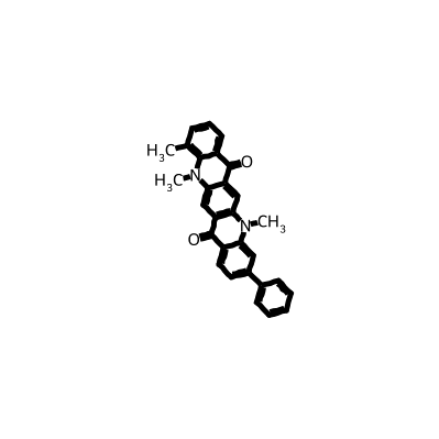 Cc1cccc2c(=O)c3cc4c(cc3n(C)c12)c(=O)c1ccc(-c2ccccc2)cc1n4C